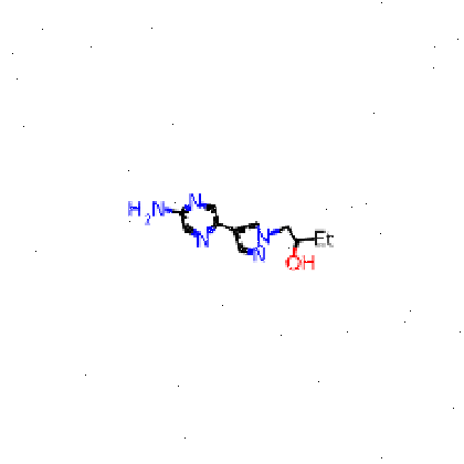 CCC(O)Cn1cc(-c2cnc(N)cn2)cn1